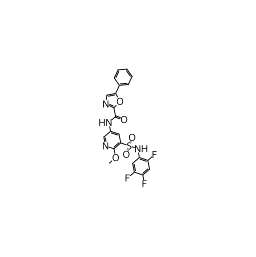 COc1ncc(NC(=O)c2ncc(-c3ccccc3)o2)cc1S(=O)(=O)Nc1cc(F)c(F)cc1F